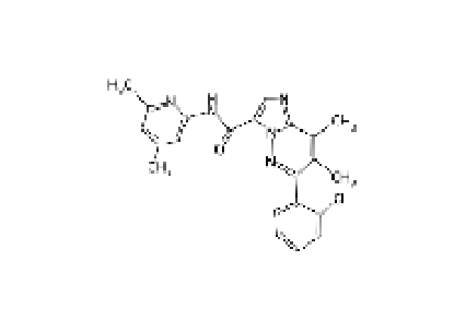 Cc1cc(C)nc(NC(=O)c2cnc3c(C)c(C)c(-c4ccccc4Cl)nn23)c1